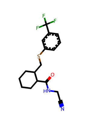 N#CCNC(=O)C1CCCCC1CSc1cccc(C(F)(F)F)c1